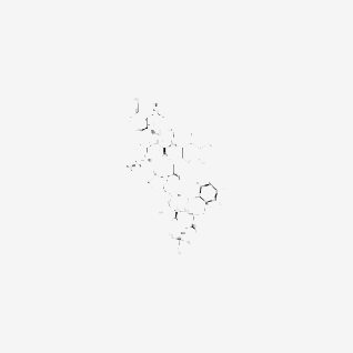 CC[C@H](C)[C@@H]([C@@H](CC(=O)N1CCC[C@H]1[C@H](OC)[C@@H](C)C(=O)N[C@@H](Cc1ccccc1)C(=O)OC(C)(C)C)OC)N(C)C(=O)[C@@H](NC(=O)[C@H](C(C)C)N(C)C)[C@H](C)N=[N+]=[N-]